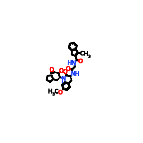 COc1ccc(C[C@H](NC(=O)CNC(=O)C2=C(C)c3ccccc3C2)C(=O)N[C@@H](CC2CCCC2)C(=O)[C@H]2CO2)cc1